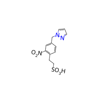 O=[N+]([O-])c1cc(Cn2cccn2)ccc1CCS(=O)(=O)O